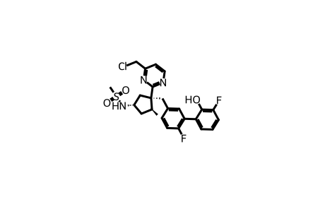 C[C@H]1C[C@H](NS(C)(=O)=O)C[C@@]1(Cc1ccc(F)c(-c2cccc(F)c2O)c1)c1nccc(CCl)n1